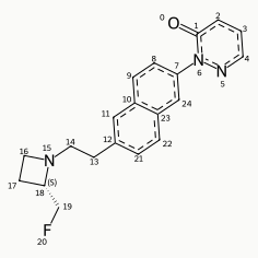 O=c1cccnn1-c1ccc2cc(CCN3CC[C@H]3CF)ccc2c1